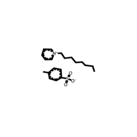 CCCCCCCC[n+]1ccccc1.Cc1ccc(S(=O)(=O)[O-])cc1